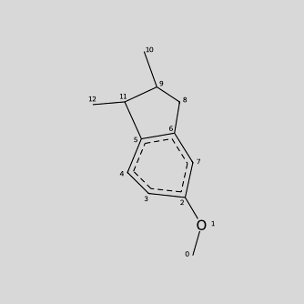 COc1ccc2c(c1)CC(C)C2C